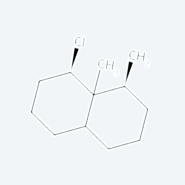 C[C@H]1CCCC2CCC[C@@H](Cl)C21C